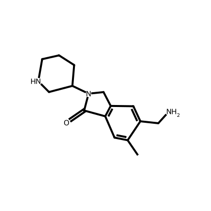 Cc1cc2c(cc1CN)CN(C1CCCNC1)C2=O